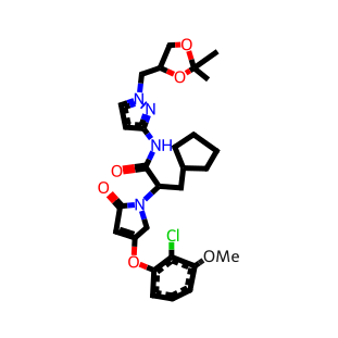 COc1cccc(OC2=CC(=O)N(C(CC3CCCC3)C(=O)Nc3ccn(CC4COC(C)(C)O4)n3)C2)c1Cl